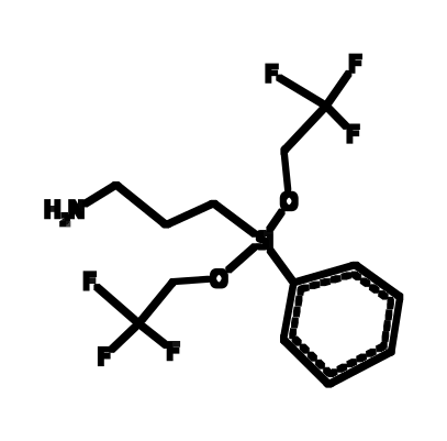 NCCC[Si](OCC(F)(F)F)(OCC(F)(F)F)c1ccccc1